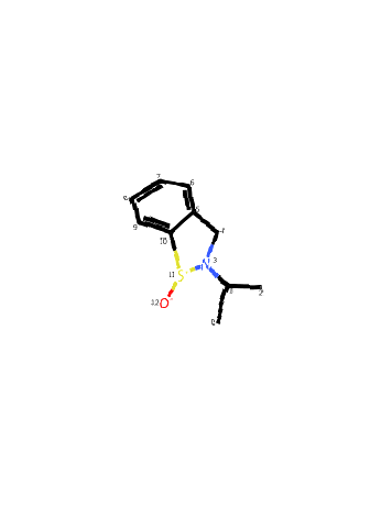 CC(C)N1Cc2ccccc2[S+]1[O-]